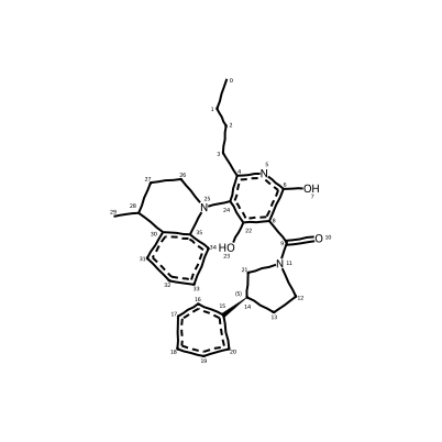 CCCCc1nc(O)c(C(=O)N2CC[C@@H](c3ccccc3)C2)c(O)c1N1CCC(C)c2ccccc21